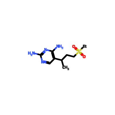 CCS(=O)(=O)CCC(C)c1cnc(N)nc1N